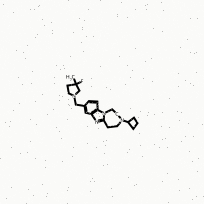 CC1(F)CCN(Cc2ccc3c(c2)nc2n3CCN(C3CCC3)CC2)C1